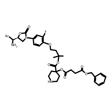 CC(=O)C(N)[C@@H]1CN(c2ccc(OCCC(C)(C)OC(=O)C3(OC(=O)CCC(=O)OCc4ccccc4)CCNCC3)c(F)c2)C(=O)O1